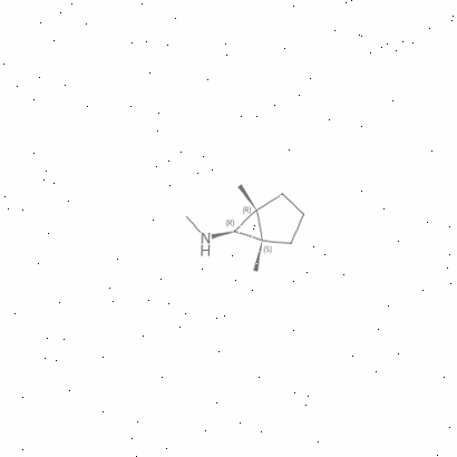 CN[C@H]1[C@]2(C)CCC[C@]12C